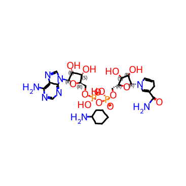 NC(=O)C1=CN([C@@H]2O[C@H](COP(=O)(O)OP(=O)(O)OC[C@H]3O[C@@H](n4cnc5c(N)ncnc54)[C@H](O)[C@@H]3O)[C@@H](O)[C@H]2O)C=CC1.NC1CCCCC1